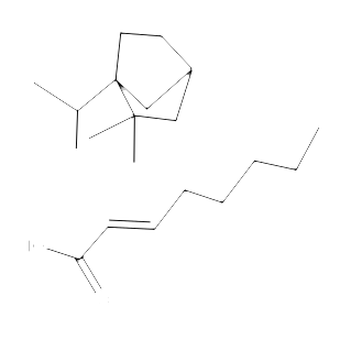 CC(C)C12CCC(CC1(C)C)C2.CCCCCC=CC(=O)O